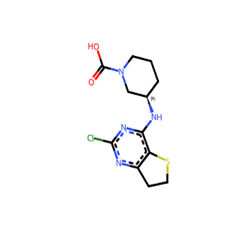 O=C(O)N1CCC[C@@H](Nc2nc(Cl)nc3c2SCC3)C1